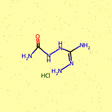 Cl.NN=C(N)NNC(N)=O